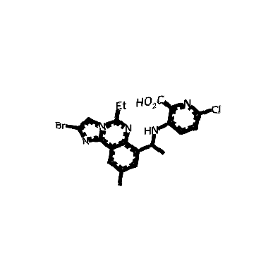 CCc1nc2c(C(C)Nc3ccc(Cl)nc3C(=O)O)cc(C)cc2c2nc(Br)cn12